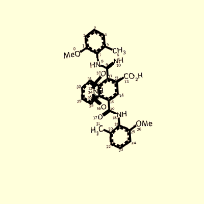 COc1cccc(C)c1NC(=N)c1c(C(=O)O)cc(C(=O)Nc2c(C)cccc2OC)c2c3ccc(c(=O)[nH]c3=O)c12